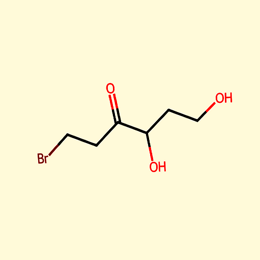 O=C(CCBr)C(O)CCO